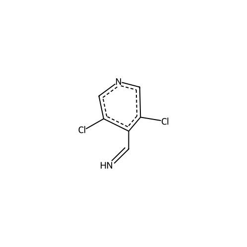 N=Cc1c(Cl)cncc1Cl